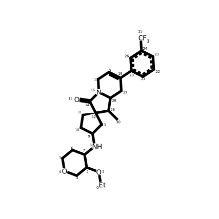 CCOC1COCCC1NC1CC[C@@]2(C1)C(=O)N1CC=C(c3cccc(C(F)(F)F)c3)CC1C2C